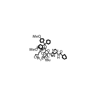 COc1ccc(C(OC[C@H]2O[C@@H](n3cnc4c(NC(=O)c5ccccc5)ncnc43)[C@@H](O[Si](C)(C)C(C)(C)C)C2OP(CCCC#N)N(C(C)C)C(C)C)(c2ccccc2)c2ccc(OC)cc2)cc1